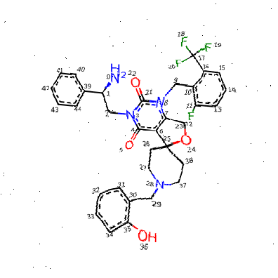 N[C@@H](Cn1c(=O)c2c(n(Cc3c(F)cccc3C(F)(F)F)c1=O)COC21CCN(Cc2ccccc2O)CC1)c1ccccc1